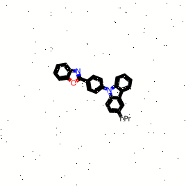 CCCc1ccc2c(c1)c1ccccc1n2-c1ccc(-c2nc3ccccc3o2)cc1